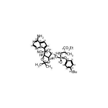 CCOC(=O)[C@H](C)NP(=O)(OC[C@H]1O[C@@](C#N)(c2ccc3c(N)ncnn23)[C@@H]2OC(C)(C)O[C@@H]21)Oc1ccc(C(C)(C)C)cc1